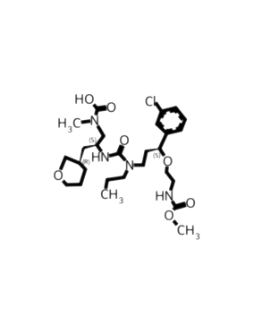 CCCN(CC[C@H](OCCNC(=O)OC)c1cccc(Cl)c1)C(=O)N[C@@H](C[C@H]1CCCOC1)CN(C)C(=O)O